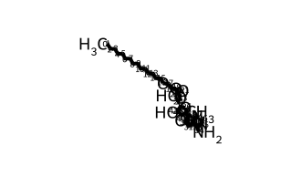 CCCCCCCCCCCCCCCCOCCOP(=O)(O)OC[C@H]1O[C@@](C)(c2ccc3c(N)ncnn23)[C@H](O)[C@@H]1O